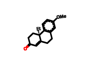 CC[C@@]12CCC(=O)C=C1CCc1cc(OC)ccc12